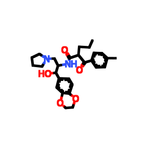 CCCC(C(=O)NC(CN1CCCC1)C(O)c1ccc2c(c1)OCCO2)C(=O)c1ccc(C)cc1